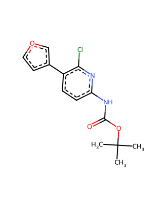 CC(C)(C)OC(=O)Nc1ccc(-c2ccoc2)c(Cl)n1